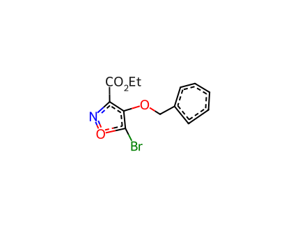 CCOC(=O)c1noc(Br)c1OCc1ccccc1